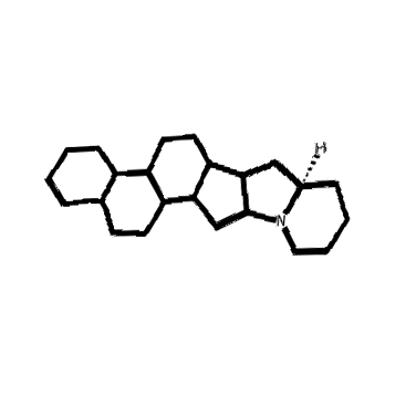 C1CCC2C(C1)CCC1C2CCC2C1CC1C2C[C@H]2CCCCN12